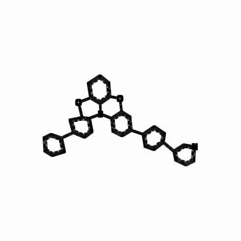 c1ccc(-c2ccc3c(c2)Oc2cccc4c2B3c2ccc(-c3ccc(-c5cccnc5)cc3)cc2O4)cc1